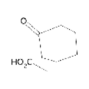 CC(=O)O.O=C1CCCCC1